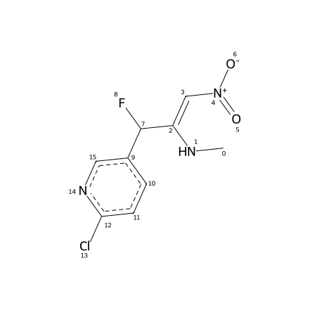 CN/C(=C\[N+](=O)[O-])C(F)c1ccc(Cl)nc1